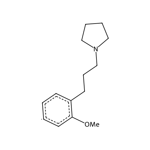 COc1c[c]ccc1CCCN1CCCC1